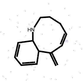 C=C1/C=C\CCCNC2C=CC=CC12